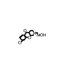 O=C(c1ccc(Cl)cc1Cl)C1CCN(C=NO)CC1